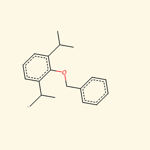 [CH2]C(C)c1cccc(C(C)C)c1OCc1ccccc1